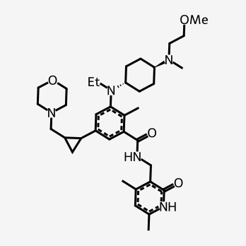 CCN(c1cc(C2CC2CN2CCOCC2)cc(C(=O)NCc2c(C)cc(C)[nH]c2=O)c1C)[C@H]1CC[C@H](N(C)CCOC)CC1